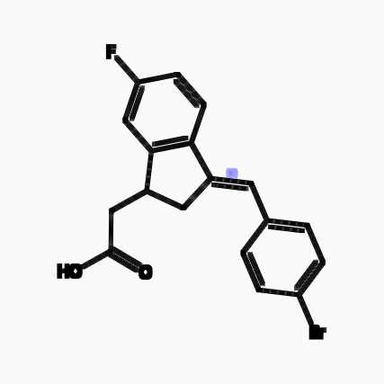 O=C(O)CC1C/C(=C\c2ccc(Br)cc2)c2ccc(F)cc21